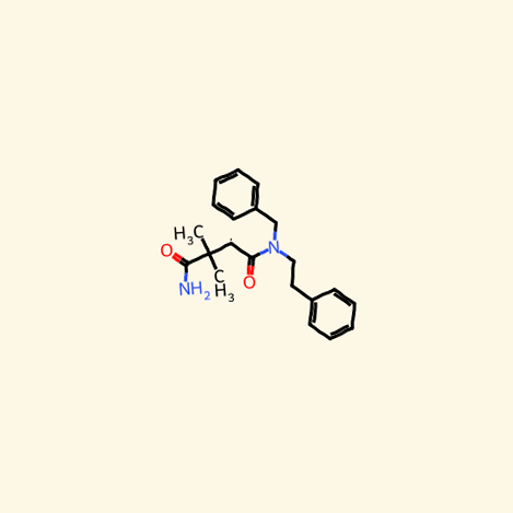 CC(C)([CH]C(=O)N(CCc1ccccc1)Cc1ccccc1)C(N)=O